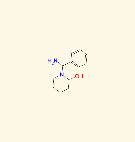 NC(c1ccccc1)N1CCCCC1O